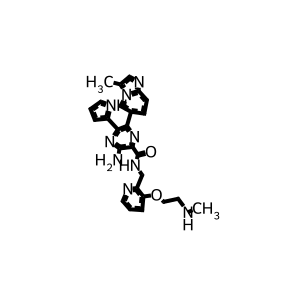 CNCCOc1cccnc1CNC(=O)c1nc(-c2ccc3ncc(C)n3c2)c(-c2ccc[nH]2)nc1N